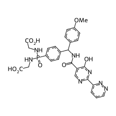 COc1ccc(C(NC(=O)c2cnc(-c3cccnn3)nc2O)c2ccc(P(=O)(NCC(=O)O)NCC(=O)O)cc2)cc1